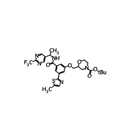 Cc1cnc(-c2cc(OCC3CN(C(=O)OC(C)(C)C)CCO3)cc(C(=O)NC(C)c3cnc(C(F)(F)F)nc3)c2)s1